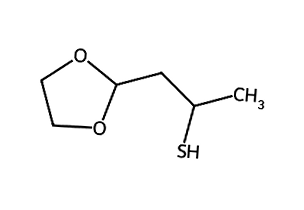 CC(S)CC1OCCO1